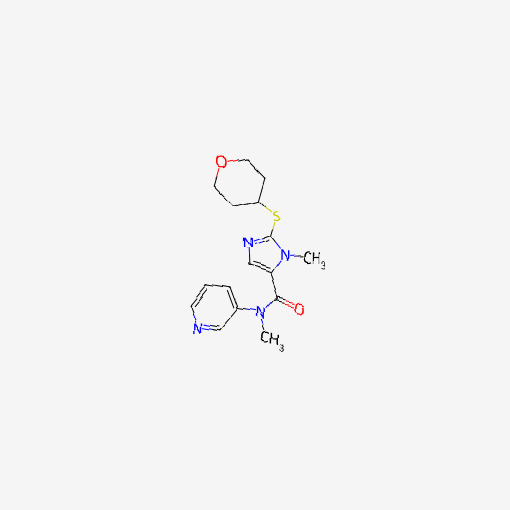 CN(C(=O)c1cnc(SC2CCOCC2)n1C)c1cccnc1